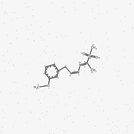 COc1cccc(C/N=N\N=C(/C)S(C)(=O)=O)c1